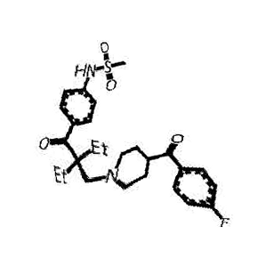 CCC(CC)(CN1CCC(C(=O)c2ccc(F)cc2)CC1)C(=O)c1ccc(NS(C)(=O)=O)cc1